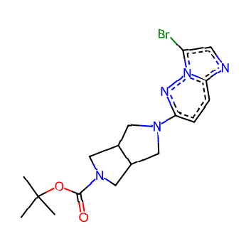 CC(C)(C)OC(=O)N1CC2CN(c3ccc4ncc(Br)n4n3)CC2C1